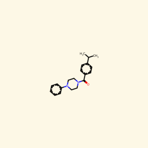 CC(C)c1ccc(C(=O)N2CCN(c3cc[c]cc3)CC2)cc1